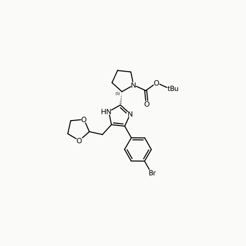 CC(C)(C)OC(=O)N1CCC[C@H]1c1nc(-c2ccc(Br)cc2)c(CC2OCCO2)[nH]1